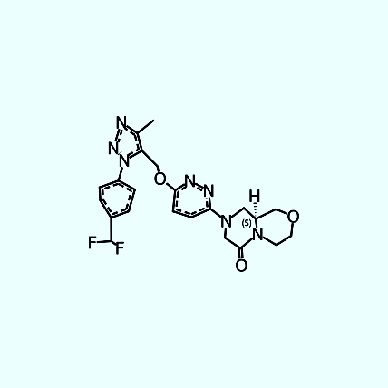 Cc1nnn(-c2ccc(C(F)F)cc2)c1COc1ccc(N2CC(=O)N3CCOC[C@@H]3C2)nn1